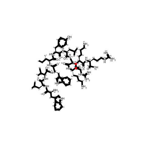 CC[C@H](C)[C@H](NC(=O)[C@H](Cc1c[nH]c2ccccc12)NC(=O)[C@@H](NC(=O)[C@H](CC(C)C)NC(=O)[C@@H](N)Cc1c[nH]c2ccccc12)C(C)C)C(=O)N[C@@H](Cc1ccc(O)cc1)C(=O)N[C@@H](CC(C)C)C(=O)N[C@@H](CCCNC(=N)N)C(=O)N[C@@H](CCCCN)C(=O)N[C@@H](CCCCN)C(=O)N[C@@H](CCCNC(=N)N)C(=O)O